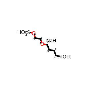 CCCCCCCCCCCCOCCOS(=O)(=O)O.[NaH]